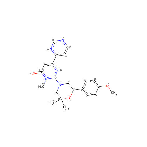 COc1ccc(C2CN(c3nc(-c4ccncn4)cc(=O)n3C)CC(C)(C)O2)cc1